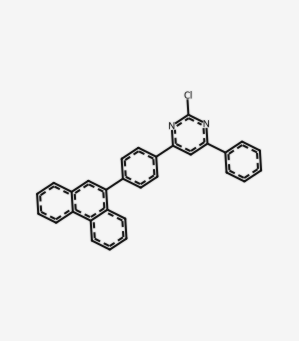 Clc1nc(-c2ccccc2)cc(-c2ccc(-c3cc4ccccc4c4ccccc34)cc2)n1